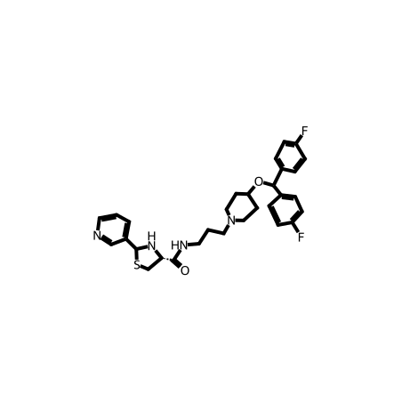 O=C(NCCCN1CCC(OC(c2ccc(F)cc2)c2ccc(F)cc2)CC1)[C@@H]1CSC(c2cccnc2)N1